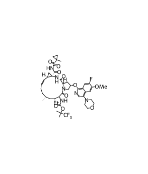 CC[C@@H]1C[C@H](C)CC/C=C\[C@H]2C[C@@]2(C(=O)NS(=O)(=O)C2(C)CC2)NC(=O)[C@@H]2C[C@@H](Oc3ncc(N4CCOCC4)c4cc(OC)c(F)cc34)CN2C(=O)[C@H]1NC(=O)OC(C)(C)C(F)(F)F